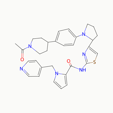 CC(=O)N1CCC(c2ccc(N3CCCC3c3csc(NC(=O)c4cccn4Cc4ccncc4)n3)cc2)CC1